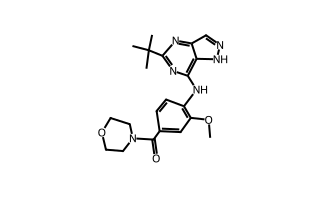 COc1cc(C(=O)N2CCOCC2)ccc1Nc1nc(C(C)(C)C)nc2cn[nH]c12